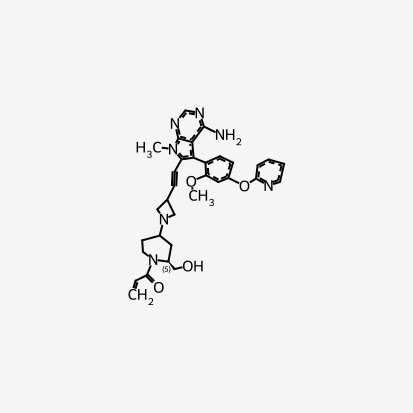 C=CC(=O)N1CCC(N2CC(C#Cc3c(-c4ccc(Oc5ccccn5)cc4OC)c4c(N)ncnc4n3C)C2)C[C@H]1CO